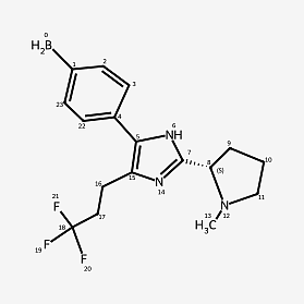 Bc1ccc(-c2[nH]c([C@@H]3CCCN3C)nc2CCC(F)(F)F)cc1